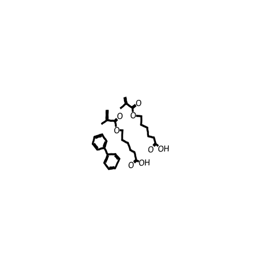 C=C(C)C(=O)OCCCCCC(=O)O.C=C(C)C(=O)OCCCCCC(=O)O.c1ccc(-c2ccccc2)cc1